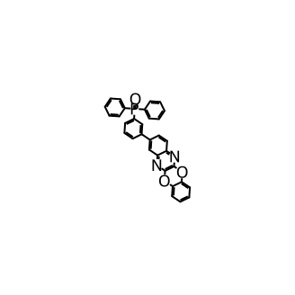 O=P(c1ccccc1)(c1ccccc1)c1cccc(-c2ccc3nc4c(nc3c2)Oc2ccccc2O4)c1